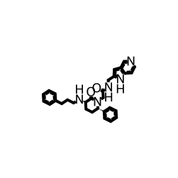 O=C(CN1C(=O)[C@@H](NCCCc2ccccc2)CC[C@H]1c1ccccc1)NCc1cc2cnccc2[nH]1